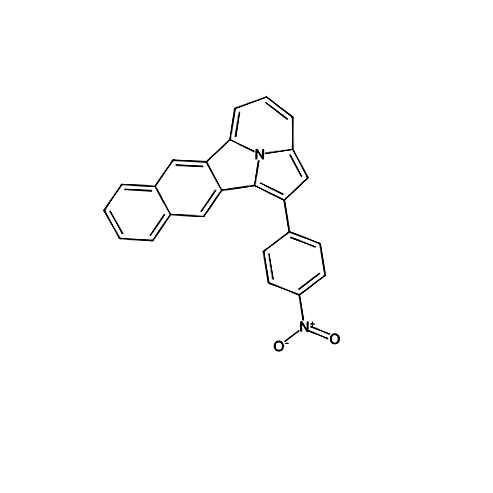 O=[N+]([O-])c1ccc(-c2cc3cccc4c5cc6ccccc6cc5c2n34)cc1